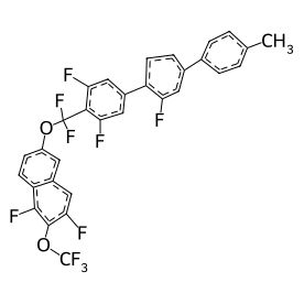 Cc1ccc(-c2ccc(-c3cc(F)c(C(F)(F)Oc4ccc5c(F)c(OC(F)(F)F)c(F)cc5c4)c(F)c3)c(F)c2)cc1